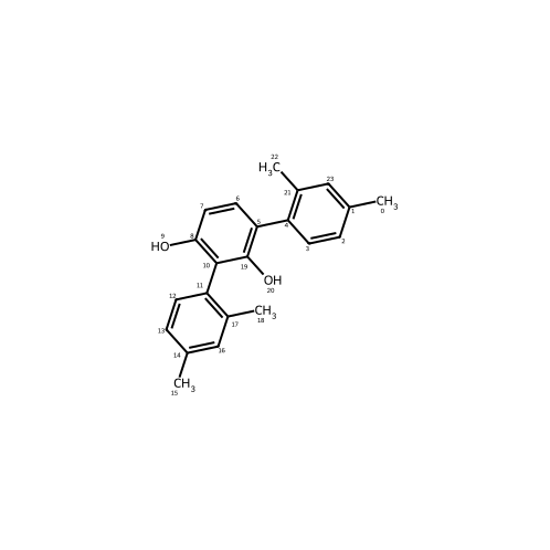 Cc1ccc(-c2ccc(O)c(-c3ccc(C)cc3C)c2O)c(C)c1